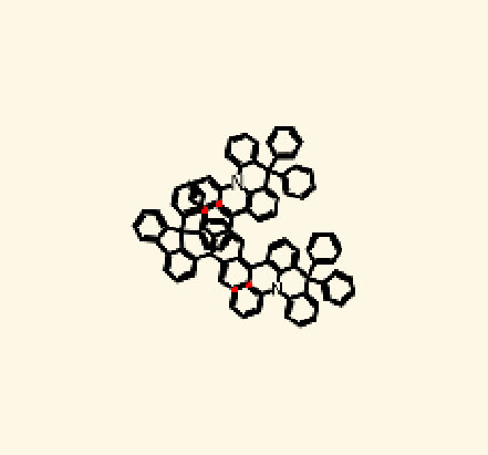 c1ccc(N2c3ccccc3C(c3ccccc3)(c3ccccc3)c3cccc(-c4cccc5c(-c6cccc7c6C(c6ccccc6)(c6ccccc6)c6ccccc6-7)c6cccc(-c7cccc8c7N(c7ccccc7)c7ccccc7C8(c7ccccc7)c7ccccc7)c6cc45)c32)cc1